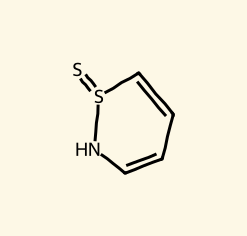 S=S1C=CC=CN1